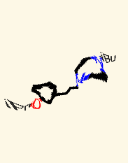 CCC(C)N1CCN(CCCc2cccc(OC(C)C)c2)CC1